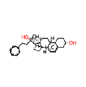 C[C@]12CC[C@H]3[C@@H](CC=C4C[C@@H](O)CC[C@@]43C)[C@@H]1CC[C@@H]2[C@](C)(O)CCc1ccccc1